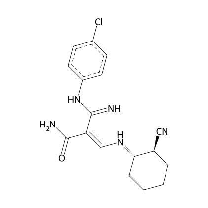 N#C[C@H]1CCCC[C@@H]1N/C=C(\C(=N)Nc1ccc(Cl)cc1)C(N)=O